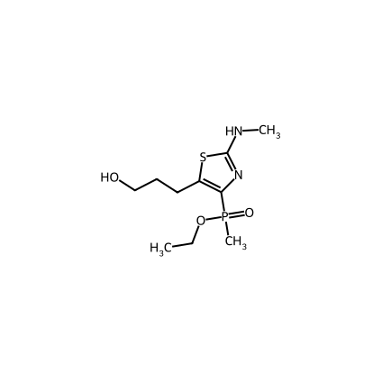 CCOP(C)(=O)c1nc(NC)sc1CCCO